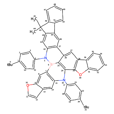 CC(C)(C)c1ccc(N2B3c4cc5occc5cc4N(c4ccc(C(C)(C)C)cc4)c4c3c(cc3c4oc4ccccc43)-c3cc4c(cc32)C(C)(C)c2ccccc2-4)cc1